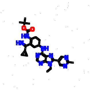 CCn1c(-c2cnc(C)nc2)nc2c(NC3CCC(NC(=O)OC(C)(C)C)=C(C(=N)C4CC4)C3)ncnc21